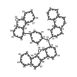 c1ccc2c(c1)ccc1ccc(N(c3ccc(-c4cccc5oc6ccccc6c45)cc3)c3cccc4c3oc3c5ccccc5ccc43)cc12